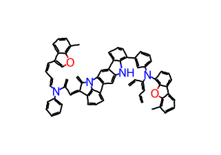 C=C/C=C(\C=C)N(c1cccc(-c2cccc3c2[nH]c2cc4c5cccc6/c(=C/C(=C)N(/C=C/C=C\c7coc8c(C)cccc78)c7ccccc7)c(=C)n(c4cc23)c65)c1)c1cccc2c1oc1c(C)cccc12